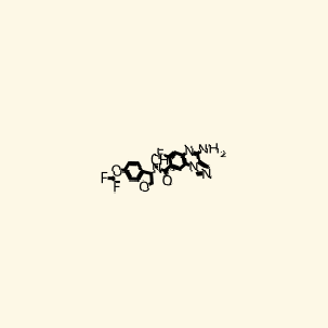 CN(C(=O)c1cc2c(cc1F)nc(N)c1cncn12)[C@@H]1COc2cc(OC(F)F)ccc21